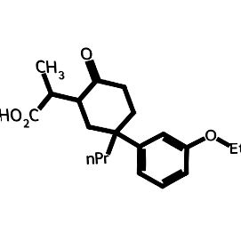 CCCC1(c2cccc(OCC)c2)CCC(=O)C(C(C)C(=O)O)C1